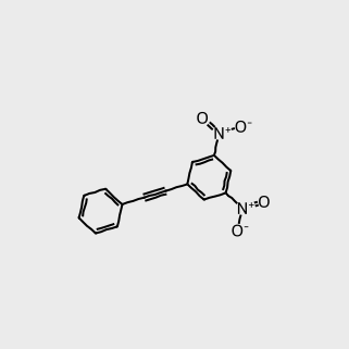 O=[N+]([O-])c1cc(C#Cc2ccccc2)cc([N+](=O)[O-])c1